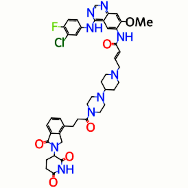 COc1cc2ncnc(Nc3ccc(F)c(Cl)c3)c2cc1NC(=O)/C=C/CN1CCC(N2CCN(C(=O)CCc3cccc4c3CN(C3CCC(=O)NC3=O)C4=O)CC2)CC1